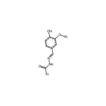 CCOc1cc(/C=N/NC(=O)CC)ccc1O